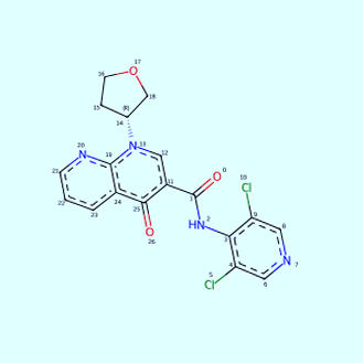 O=C(Nc1c(Cl)cncc1Cl)c1cn([C@@H]2CCOC2)c2ncccc2c1=O